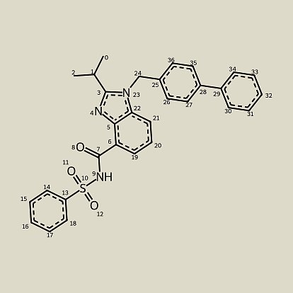 CC(C)c1nc2c(C(=O)NS(=O)(=O)c3ccccc3)cccc2n1Cc1ccc(-c2ccccc2)cc1